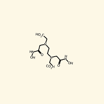 O=C(O)CN(CCN(CC(=O)O)CC(=O)NO)CC(=O)NO